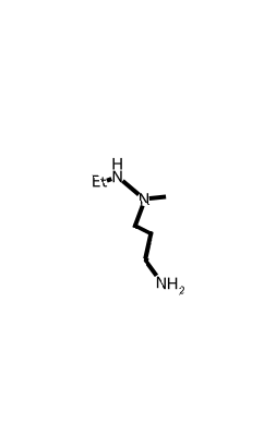 CCNN(C)CCCN